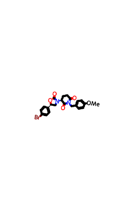 COc1ccc(CN2C(=O)CC[C@H](N3C[C@H](c4ccc(Br)cc4)OC3=O)C2=O)cc1